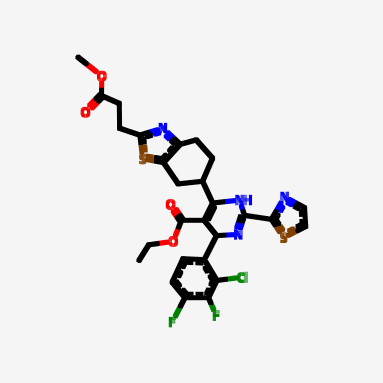 CCOC(=O)C1=C(C2CCc3nc(CCC(=O)OC)sc3C2)NC(c2nccs2)=NC1c1ccc(F)c(F)c1Cl